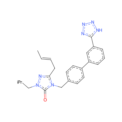 C/C=C/Cc1nn(CC(C)C)c(=O)n1Cc1ccc(-c2cccc(-c3nnn[nH]3)c2)cc1